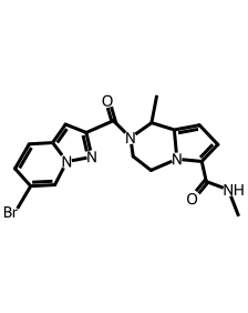 CNC(=O)c1ccc2n1CCN(C(=O)c1cc3ccc(Br)cn3n1)C2C